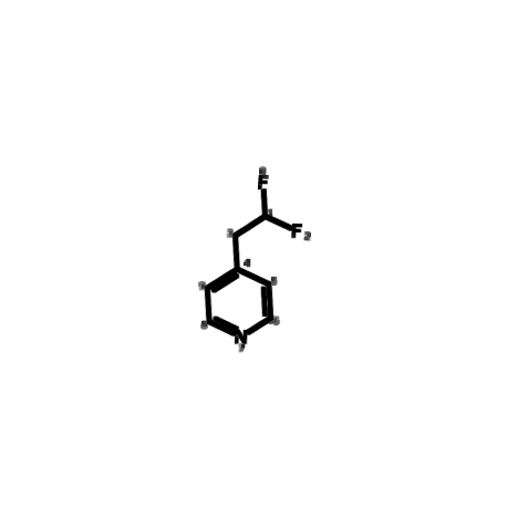 FC(F)Cc1c[c]ncc1